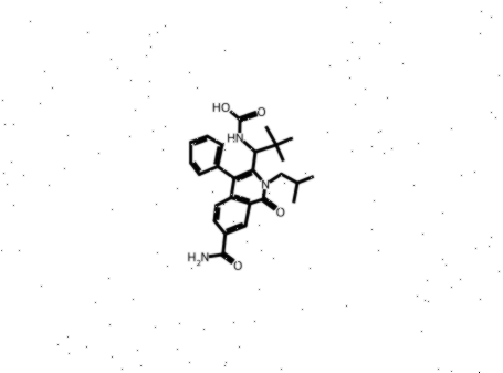 CC(C)Cn1c(C(NC(=O)O)C(C)(C)C)c(-c2ccccc2)c2ccc(C(N)=O)cc2c1=O